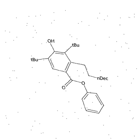 CCCCCCCCCCCCc1c(C(=O)Oc2ccccc2)cc(C(C)(C)C)c(O)c1C(C)(C)C